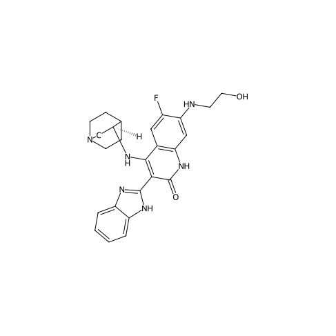 O=c1[nH]c2cc(NCCO)c(F)cc2c(N[C@H]2CN3CCC2CC3)c1-c1nc2ccccc2[nH]1